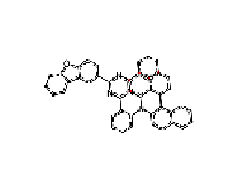 c1ccc(-c2nc(-c3ccc4oc5ccccc5c4c3)nc(-c3ccccc3N3c4ccc5ccccc5c4-c4cccc5cccc3c45)n2)cc1